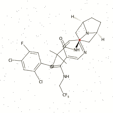 CC(C)(Oc1cc(F)c(Cl)cc1Cl)C(=O)N[C@H]1C[C@H]2CC[C@@H](C1)N2c1ccc(C(=O)NCC(F)(F)F)cn1